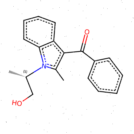 Cc1c(C(=O)c2ccccc2)c2ccccc2n1[C@@H](C)CO